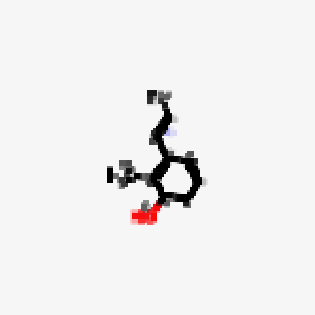 CC/C=C/c1[c]ccc(O)c1C